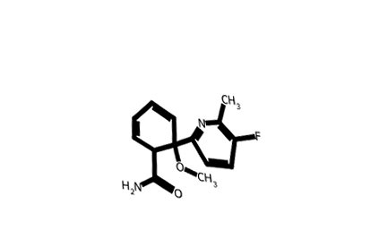 COC1(c2ccc(F)c(C)n2)C=CC=CC1C(N)=O